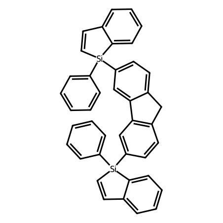 C1=C[Si](c2ccccc2)(c2ccc3c(c2)-c2cc([Si]4(c5ccccc5)C=Cc5ccccc54)ccc2C3)c2ccccc21